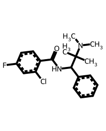 CN(C)C(C)(C)C(NC(=O)c1ccc(F)cc1Cl)c1ccccc1